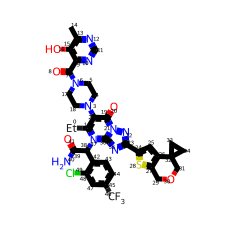 CCc1c(N2CCN(C(=O)c3ncnc(C)c3O)CC2)c(=O)n2nc(-c3cc4c(s3)COCC43CC3)nc2n1C(C(N)=O)c1ccc(C(F)(F)F)cc1Cl